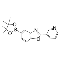 CC1(C)OB(c2ccc3oc(-c4cccnc4)nc3c2)OC1(C)C